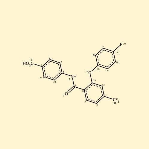 O=C(O)c1ccc(NC(=O)c2ccc(C(F)(F)F)cc2Oc2ccc(F)cc2)cn1